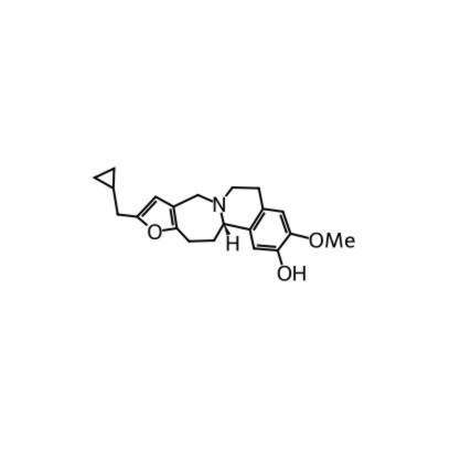 COc1cc2c(cc1O)[C@@H]1CCc3oc(CC4CC4)cc3CN1CC2